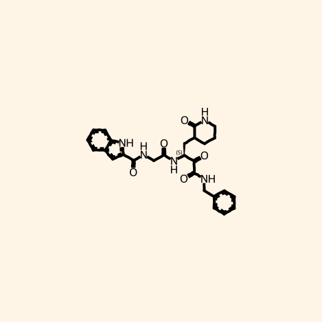 O=C(CNC(=O)c1cc2ccccc2[nH]1)N[C@@H](CC1CCCNC1=O)C(=O)C(=O)NCc1ccccc1